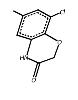 Cc1cc(Cl)c2c(c1)NC(=O)CO2